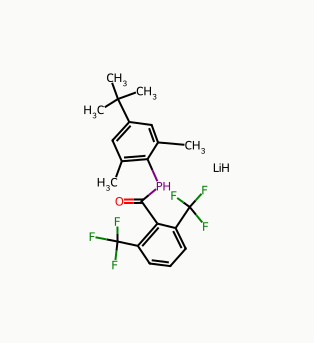 Cc1cc(C(C)(C)C)cc(C)c1PC(=O)c1c(C(F)(F)F)cccc1C(F)(F)F.[LiH]